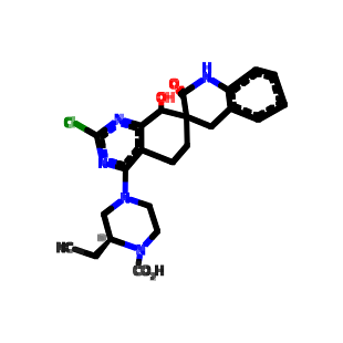 N#CC[C@H]1CN(c2nc(Cl)nc3c2CCC2(Cc4ccccc4NC2=O)C3O)CCN1C(=O)O